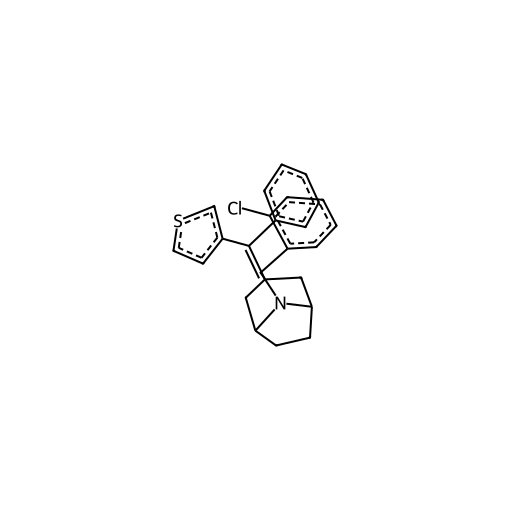 Clc1ccccc1CN1C2CCC1CC(=C(c1ccccc1)c1ccsc1)C2